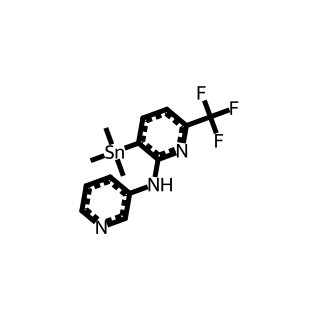 [CH3][Sn]([CH3])([CH3])[c]1ccc(C(F)(F)F)nc1Nc1cccnc1